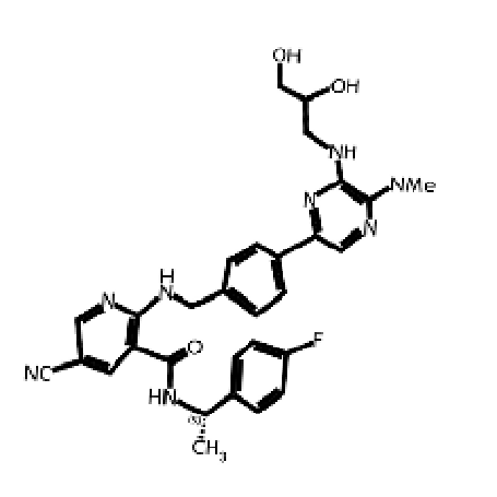 CNc1ncc(-c2ccc(CNc3ncc(C#N)cc3C(=O)N[C@@H](C)c3ccc(F)cc3)cc2)nc1NCC(O)CO